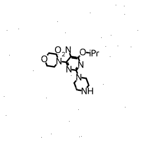 CC(C)Oc1nc(N2CCNCC2)nc(N2CCOCC2)c1[N+](=O)[O-]